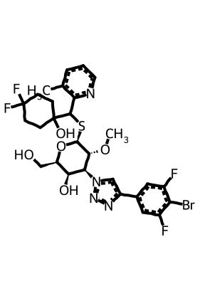 CO[C@@H]1[C@@H](n2cc(-c3cc(F)c(Br)c(F)c3)nn2)[C@@H](O)[C@@H](CO)O[C@H]1SC(c1ncccc1C)C1(O)CCC(F)(F)CC1